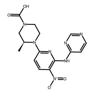 C[C@H]1CN(C(=O)O)CCN1c1ccc([N+](=O)[O-])c(Nc2ccncn2)n1